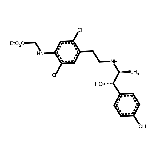 CCOC(=O)CNc1cc(Cl)c(CCN[C@@H](C)[C@@H](O)c2ccc(O)cc2)cc1Cl